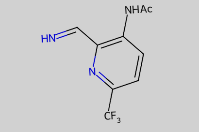 CC(=O)Nc1ccc(C(F)(F)F)nc1C=N